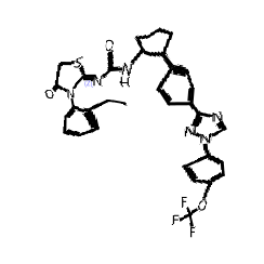 CCc1ccccc1N1C(=O)CS/C1=N\C(=O)NC1CCCC1c1ccc(-c2ncn(-c3ccc(OC(F)(F)F)cc3)n2)cc1